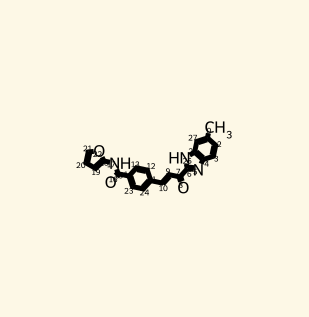 Cc1ccc2nc(C(=O)C=Cc3ccc(C(=O)Nc4ccco4)cc3)[nH]c2c1